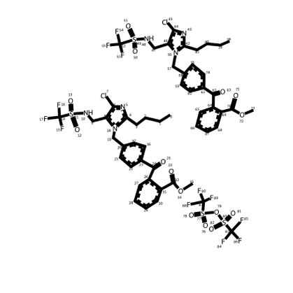 CCCCc1nc(Cl)c(CNS(=O)(=O)C(F)(F)F)n1Cc1ccc(C(=O)c2ccccc2C(=O)OC)cc1.CCCCc1nc(Cl)c(CNS(=O)(=O)C(F)(F)F)n1Cc1ccc(C(=O)c2ccccc2C(=O)OC)cc1.O=S(=O)(OS(=O)(=O)C(F)(F)F)C(F)(F)F